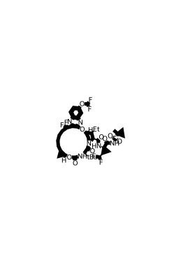 CC[C@@H]1[C@@H]2CN(C(=O)[C@H](C(C)(C)C)NC(=O)O[C@@H]3CC3CCCCC(F)(F)c3nc4ccc(OC(F)F)cc4nc3O2)[C@@H]1C(=O)N[C@]1(C(=O)NS(=O)(=O)C2(C)CC2)C[C@H]1C(F)F